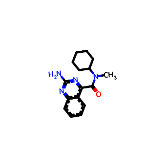 CN(C(=O)c1nc(N)nc2ccccc12)C1CCCCC1